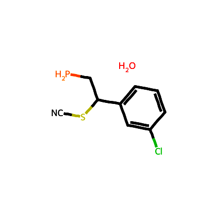 N#CSC(CP)c1cccc(Cl)c1.O